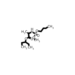 CCCCOP(=O)(NC(C)C(=O)OC(CC)CC)OC